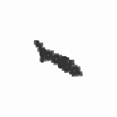 C=CCCCOc1ccc(C2CCC(C(=O)Oc3ccc(C4CCC(C)CC4)c(F)c3F)CC2)cc1F